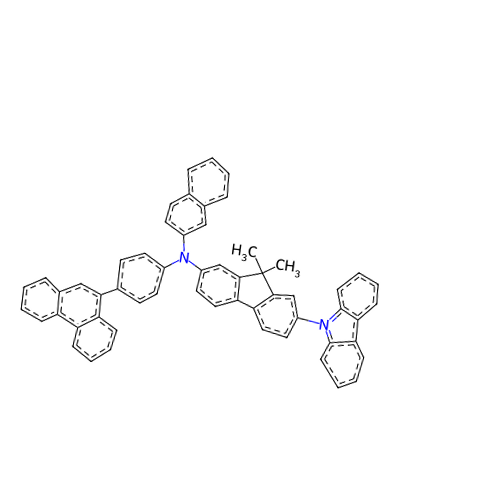 CC1(C)c2cc(N(c3ccc(-c4cc5ccccc5c5ccccc45)cc3)c3ccc4ccccc4c3)ccc2-c2ccc(-n3c4ccccc4c4ccccc43)cc21